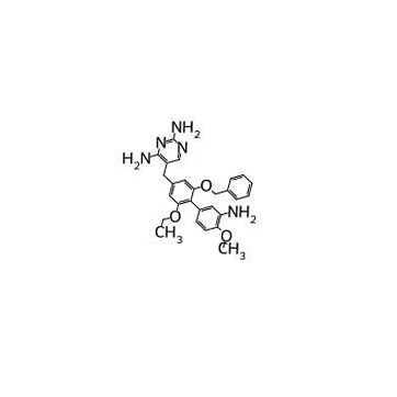 CCOc1cc(Cc2cnc(N)nc2N)cc(OCc2ccccc2)c1-c1ccc(OC)c(N)c1